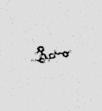 Bc1cnn2c(NC3CCN(C(=O)/C=C/c4cccc(Cl)c4)CC3)cc(-c3ccccc3Cl)nc12